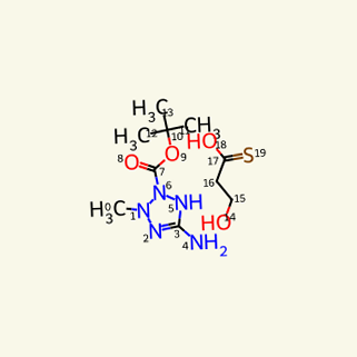 CN1N=C(N)NN1C(=O)OC(C)(C)C.OCCC(O)=S